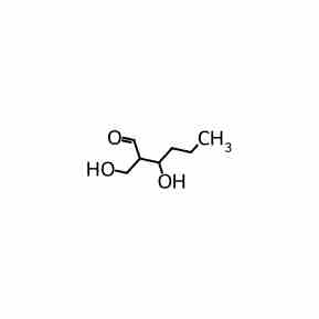 CCCC(O)C(C=O)CO